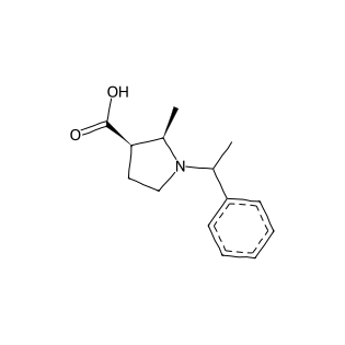 CC(c1ccccc1)N1CC[C@@H](C(=O)O)[C@H]1C